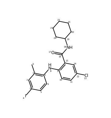 Cc1cc(I)ccc1Nc1ccc(Cl)cc1C(=O)NC1CCCCC1